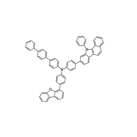 c1ccc(-c2ccc(-c3ccc(N(c4ccc(-c5ccc6c7ccc8ccccc8c7n(-c7ccccc7)c6c5)cc4)c4ccc(-c5cccc6c5oc5ccccc56)cc4)cc3)cc2)cc1